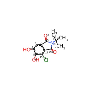 CC(C)(C)N1C(=O)c2cc(O)c(O)c(Cl)c2C1=O